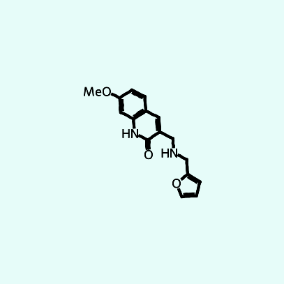 COc1ccc2cc(CNCc3ccco3)c(=O)[nH]c2c1